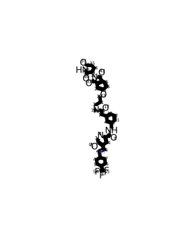 COc1cnc(C(=O)NCc2cccc(CC(=O)N(C)CCCOc3ccc4c(c3)C(=O)N(C3CCC(=O)NC3=O)C4=O)c2)cc1/C=C/C1CCC(C(F)(F)F)CC1